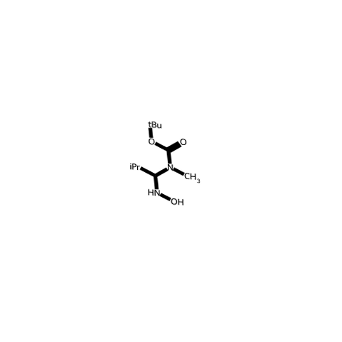 CC(C)C(NO)N(C)C(=O)OC(C)(C)C